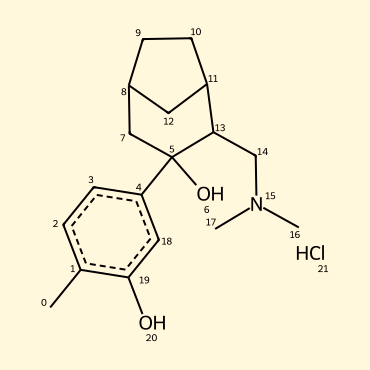 Cc1ccc(C2(O)CC3CCC(C3)C2CN(C)C)cc1O.Cl